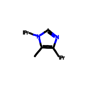 Cc1c(C(C)C)n[c]n1C(C)C